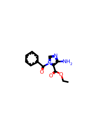 CCOC(=O)c1c(N)ncn1C(=O)c1ccccc1